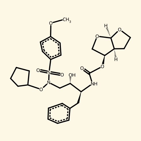 COc1ccc(S(=O)(=O)N(C[C@H](O)[C@H](Cc2ccccc2)NC(=O)O[C@H]2CO[C@H]3OCC[C@H]32)OC2CCCC2)cc1